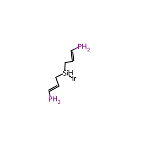 PC=CC[SiH]([Ir])CC=CP